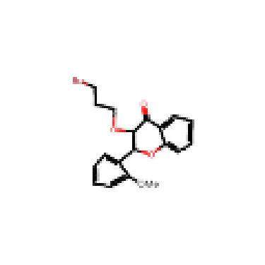 COc1ccccc1C1Oc2ccccc2C(=O)C1OCCCBr